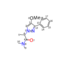 COc1cn(C(C)C(=O)N(C)C)nc1-c1ccccc1